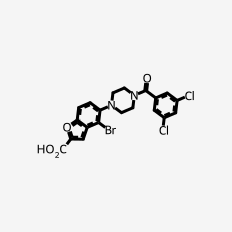 O=C(O)c1cc2c(Br)c(N3CCN(C(=O)c4cc(Cl)cc(Cl)c4)CC3)ccc2o1